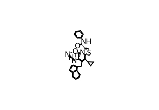 [N-]=[N+]=Nc1c(Cc2cccc3ccccc23)c(C2CC2)c2n(c1=O)[C@H](C(=O)Nc1ccccc1)CS2